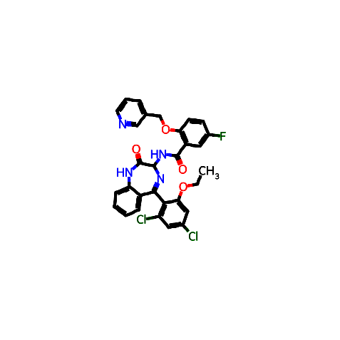 CCOc1cc(Cl)cc(Cl)c1C1=NC(NC(=O)c2cc(F)ccc2OCc2cccnc2)C(=O)Nc2ccccc21